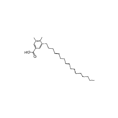 CCCCCCCCCCCCCCCCCc1cc(C(=O)O)cc(C)c1C